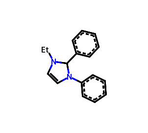 CCN1C=CN(c2ccccc2)C1c1ccccc1